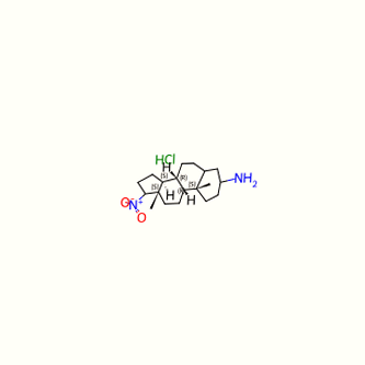 C[C@]12CCC(N)CC1CC[C@@H]1[C@H]2CC[C@]2(C)C([N+](=O)[O-])CC[C@@H]12.Cl